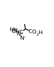 CC(C=O)C(=O)O.[N-]=[N+]=N